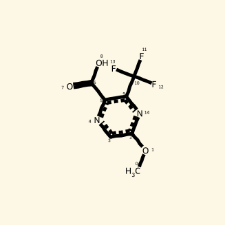 COc1cnc(C(=O)O)c(C(F)(F)F)n1